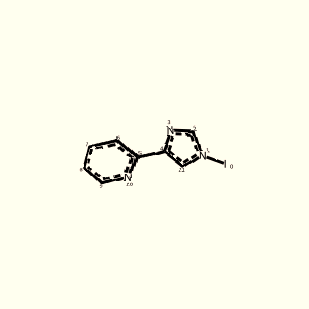 In1cnc(-c2ccccn2)c1